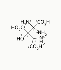 NC(C(=O)O)C(O)(C(=O)O)C(N)(N)C(=O)O